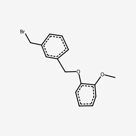 COc1ccccc1OCc1cccc(CBr)c1